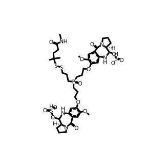 CNC(=O)CCC(C)(C)SSCCCP(=O)(CCCOc1cc2c(cc1OC)C(=O)N1CCC[C@H]1C(O[SH](=O)=O)N2)CCCOc1cc2c(cc1OC)C(=O)N1CCC[C@H]1C(O[SH](=O)=O)N2